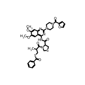 COc1cc2nc(N3CCN(C(=O)c4ccco4)CC3)nc(NC(=O)C3CSCN3C(=O)C(C)CSC(=O)c3ccccc3)c2cc1OC